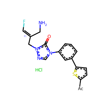 CC(=O)c1ccc(-c2cccc(-n3cnn(C/C(=C/F)CN)c3=O)c2)s1.Cl